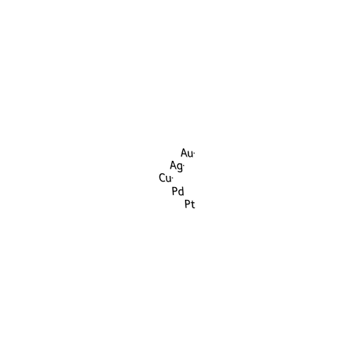 [Ag].[Au].[Cu].[Pd].[Pt]